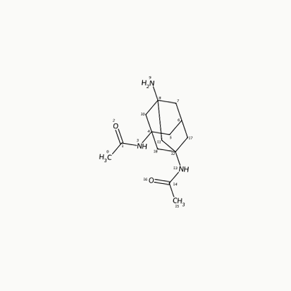 CC(=O)NC12CC3CC(N)(C1)CC(NC(C)=O)(C3)C2